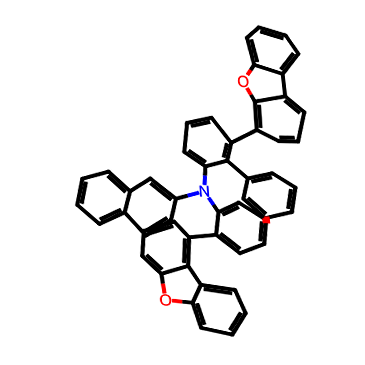 c1ccc(-c2c(-c3cccc4c3oc3ccccc34)cccc2N(c2ccc3ccccc3c2)c2ccccc2-c2cccc3oc4ccccc4c23)cc1